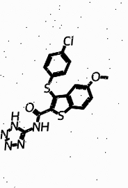 COc1ccc2sc(C(=O)Nc3nnn[nH]3)c(Sc3ccc(Cl)cc3)c2c1